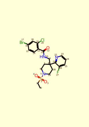 CCS(=O)(=O)N1CCC(CNC(=O)c2ccc(Br)cc2Cl)(c2ncccc2F)CC1